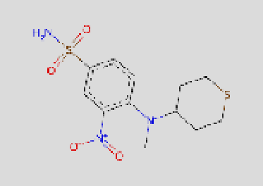 CN(c1ccc(S(N)(=O)=O)cc1[N+](=O)[O-])C1CCSCC1